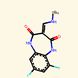 CCCCNC=C1C(=O)Nc2cc(F)cc(F)c2NC1=O